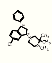 CN1CCN([C@H]2C[C@@H](c3ccccc3)c3ccc(Cl)cc32)CC1(C)C